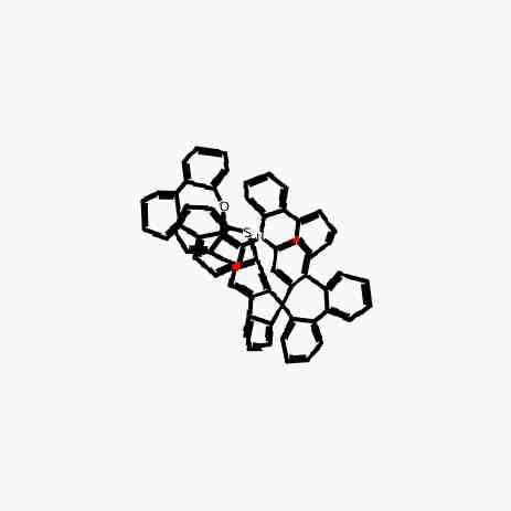 c1ccc(-c2ccccc2N(c2ccc3c(c2)C2(c4ccccc4-c4ccccc4-3)c3ccccc3-c3cc4c(cc32)sc2ccccc24)c2cccc3c2Oc2ccccc2-c2ccccc2-3)cc1